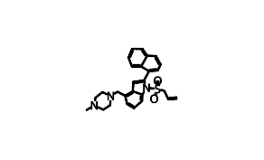 C=CCS(=O)(=O)n1c(-c2cccc3ccccc23)cc2c(CN3CCN(C)CC3)cccc21